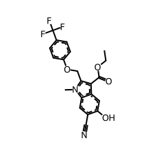 CCOC(=O)c1c(COc2ccc(C(F)(F)F)cc2)n(C)c2cc(C#N)c(O)cc12